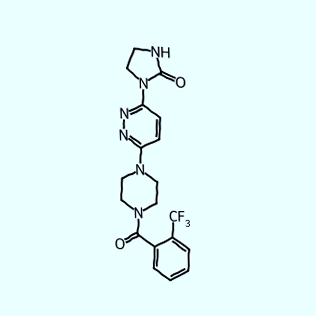 O=C(c1ccccc1C(F)(F)F)N1CCN(c2ccc(N3CCNC3=O)nn2)CC1